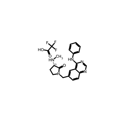 CN[C@H]1CCN(Cc2ccc3ncnc(Nc4ccccc4)c3c2)C1=O.O=C(O)C(F)(F)F